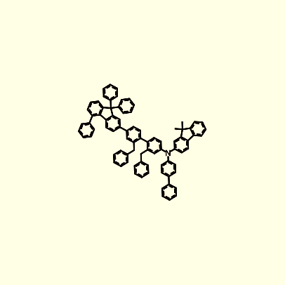 CC1(C)c2ccccc2-c2ccc(N(c3ccc(-c4ccccc4)cc3)c3ccc(-c4ccc(-c5ccc6c(c5)C(c5ccccc5)(c5ccccc5)c5cccc(-c7ccccc7)c5-6)cc4Cc4ccccc4)c(Cc4ccccc4)c3)cc21